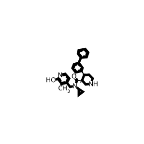 Cc1c(CN(C(=O)[C@H]2CNCC[C@@H]2c2cccc(-c3ccccc3)c2)C2CC2)ccnc1O